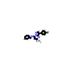 Cc1cc(NCc2ccccc2)n2ncc(-c3ccc(F)cc3)c2n1